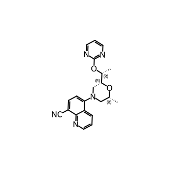 C[C@@H]1CN(c2ccc(C#N)c3ncccc23)C[C@H]([C@@H](C)Oc2ncccn2)O1